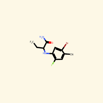 N#Cc1cc(F)c(NC(CC(F)(F)F)C(N)=O)cc1Br